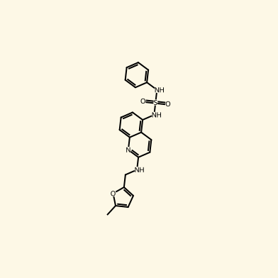 Cc1ccc(CNc2ccc3c(NS(=O)(=O)Nc4ccccc4)cccc3n2)o1